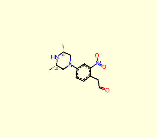 C[C@@H]1CN(c2ccc(CC=O)c([N+](=O)[O-])c2)C[C@H](C)N1